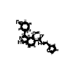 COc1c(C(=O)NCc2ccco2)ccc2[nH]nc(-c3cccc(F)c3)c12